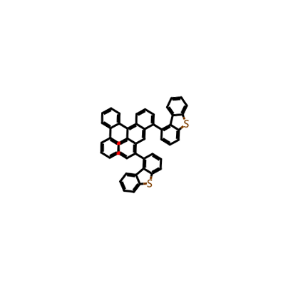 c1ccc(-c2ccccc2-c2c3cccc(-c4cccc5sc6ccccc6c45)c3cc3c(-c4cccc5sc6ccccc6c45)cccc23)cc1